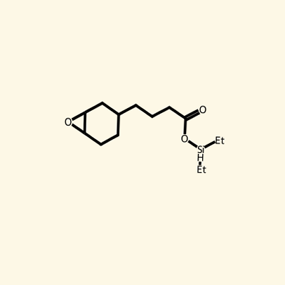 CC[SiH](CC)OC(=O)CCCC1CCC2OC2C1